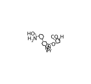 CC(C)n1nc(COc2ccccc2CC(=O)O)c2cc(-c3cccc([C@H](N)CO)c3)ccc21